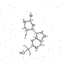 CC(C)(O)c1cn2c(-c3nc(Br)ncc3F)cnc2cn1